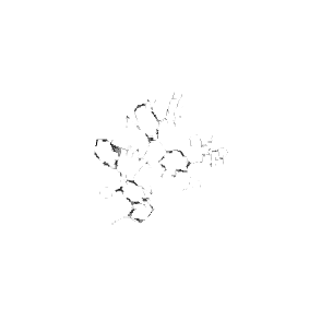 COc1ncc(-c2c(N)ncnc2NC(C)c2nn3ccc(C)c3c(=O)n2-c2ccccc2)cc1NS(C)(=O)=O